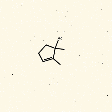 CC(=O)C1(C)CCC=C1C